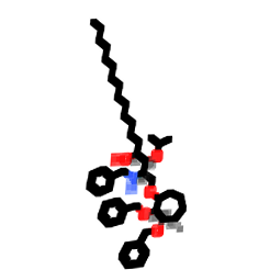 CCCCCCCCCCCCCC[C@H](O)[C@H](OC(C)C)[C@@H](COC1CCC[C@H](C)[C@H](OCc2ccccc2)[C@H]1OCc1ccccc1)NCc1ccccc1